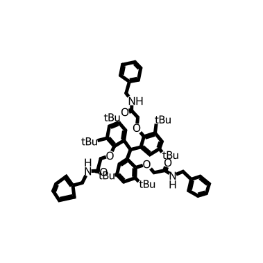 CC(C)(C)c1cc(C(c2cc(C(C)(C)C)cc(C(C)(C)C)c2OCC(=O)NCc2ccccc2)c2cc(C(C)(C)C)cc(C(C)(C)C)c2OCC(=O)NCc2ccccc2)c(OCC(=O)NCc2ccccc2)c(C(C)(C)C)c1